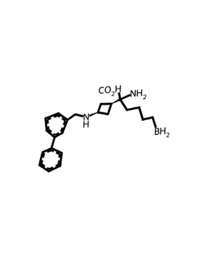 BCCCCC(N)(C(=O)O)[C@H]1C[C@@H](NCc2cccc(-c3ccccc3)c2)C1